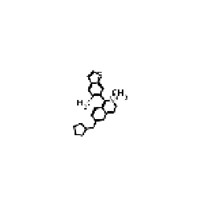 Cc1cc2ccsc2cc1-c1c2ccc(CC3CCCC3)cc2cc[n+]1C